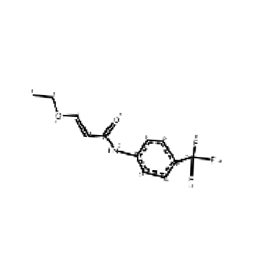 CCOC=CC(=O)Nc1ccc(C(F)(F)F)cc1